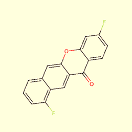 O=c1c2ccc(F)cc2oc2cc3cccc(F)c3cc12